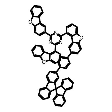 c1ccc2c(c1)-c1ccccc1C21c2ccccc2-c2ccc(-c3ccc(-c4ccc5oc6cccc(-c7nc(-c8ccc9oc%10ccccc%10c9c8)nc(-c8cccc9oc%10ccccc%10c89)n7)c6c5c4)cc3)cc21